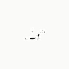 N#CNC#N.[Li]